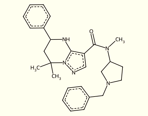 CN(C(=O)c1cnn2c1NC(c1ccccc1)CC2(C)C)C1CCN(Cc2ccccc2)C1